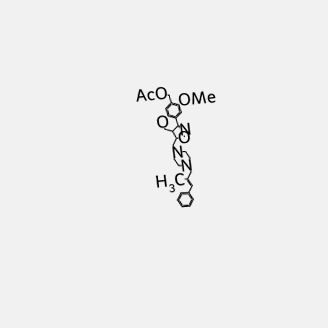 COc1cc2c(cc1COC(C)=O)OCC1C2=NOC1CN1CCN(C/C(C)=C/c2ccccc2)CC1